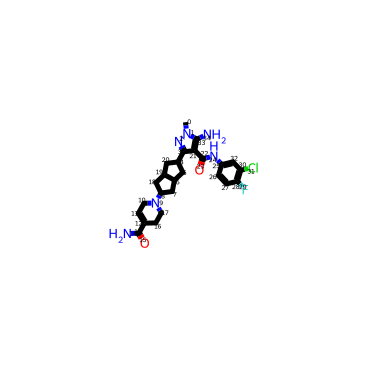 Cn1nc(C2CC3CC(N4CC=C(C(N)=O)CC4)CC3C2)c(C(=O)Nc2ccc(F)c(Cl)c2)c1N